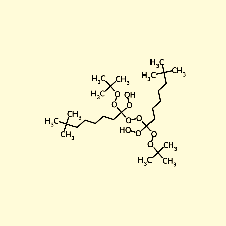 CC(C)(C)CCCCCC(OO)(OOC(C)(C)C)OOC(CCCCCC(C)(C)C)(OO)OOC(C)(C)C